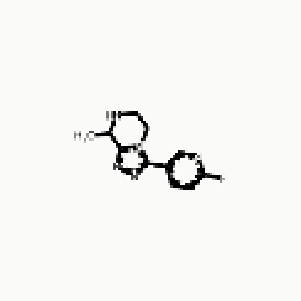 CC1NCCn2c(-c3ccc(F)nc3)nnc21